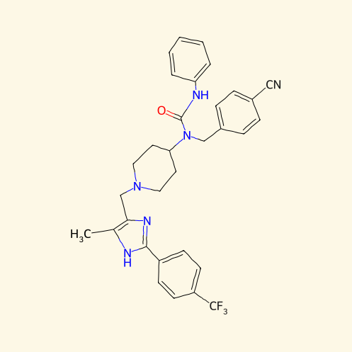 Cc1[nH]c(-c2ccc(C(F)(F)F)cc2)nc1CN1CCC(N(Cc2ccc(C#N)cc2)C(=O)Nc2ccccc2)CC1